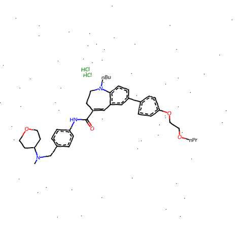 CCCCN1CCC(C(=O)Nc2ccc(CN(C)C3CCOCC3)cc2)=Cc2cc(-c3ccc(OCCOCCC)cc3)ccc21.Cl.Cl